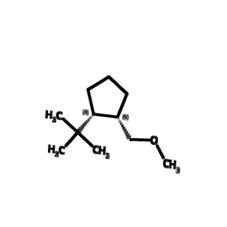 COC[C@H]1CCC[C@H]1C(C)(C)C